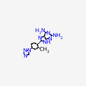 Cc1cc(-n2cncn2)ccc1-c1nc2c(N)nc(N)nc2[nH]1